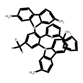 Cc1ccc2c3ccc(C)cc3n(-c3cc(C(F)(F)F)cc(-n4c5cc(C)ccc5c5ccc(C)cc54)c3-c3cccc(-c4ccccc4)n3)c2c1